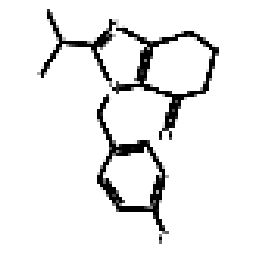 CC(C)c1nc2c(n1Cc1ccc(Cl)cc1)C(=O)CCC2